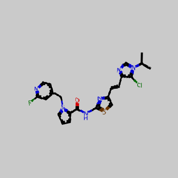 CC(C)n1cnc(C=Cc2csc(NC(=O)c3cccn3Cc3ccnc(F)c3)n2)c1Cl